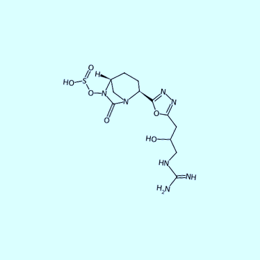 N=C(N)NCC(O)Cc1nnc([C@@H]2CC[C@@H]3CN2C(=O)N3OS(=O)O)o1